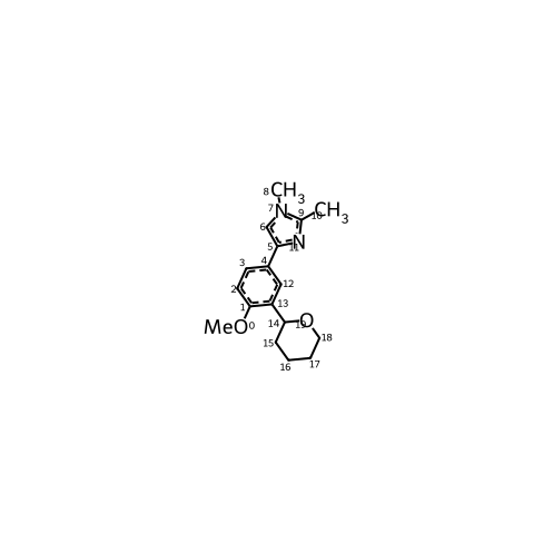 COc1ccc(-c2cn(C)c(C)n2)cc1C1CCCCO1